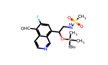 CC(C)(C)[Si](C)(C)OC(CNS(C)(=O)=O)c1cc(F)c(C=O)c2ccncc12